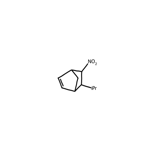 CC(C)C1C2C=CC(C2)C1[N+](=O)[O-]